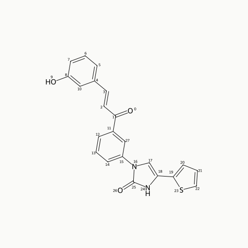 O=C(/C=C/c1cccc(O)c1)c1cccc(-n2cc(-c3cccs3)[nH]c2=O)c1